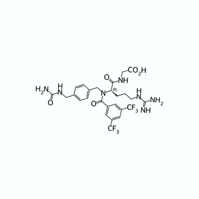 N=C(N)NCCC[C@H](C(=O)NCC(=O)O)N(Cc1ccc(CNC(N)=O)cc1)C(=O)c1cc(C(F)(F)F)cc(C(F)(F)F)c1